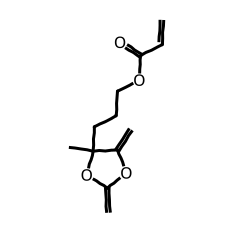 C=CC(=O)OCCCC1(C)OC(=C)OC1=C